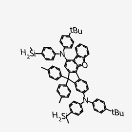 C[SiH2]c1ccc(N(c2ccc(C(C)(C)C)cc2)c2ccc3c(c2)C(c2ccc(C)cc2)(c2ccc(C)cc2)c2cc(N(c4ccc([SiH2]C)cc4)c4ccc(C(C)(C)C)cc4)c4c(oc5ccccc54)c2-3)cc1